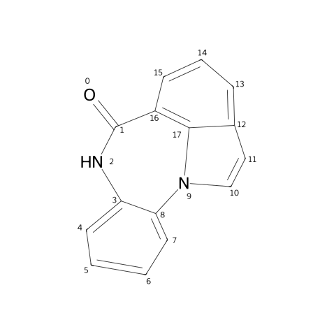 O=C1Nc2ccccc2-n2ccc3cccc1c32